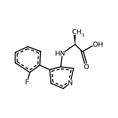 C[C@H](Nc1cnccc1-c1ccccc1F)C(=O)O